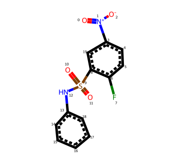 O=[N+]([O-])c1ccc(F)c(S(=O)(=O)Nc2ccccc2)c1